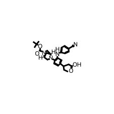 CCC(CC(=O)O)c1ccc(N2C[C@@H]3C[C@H]2CN3C(=O)OC(C)(C)C)c(Nc2ccc(C#N)cc2)c1